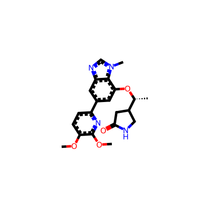 COc1ccc(-c2cc(O[C@H](C)C3CNC(=O)C3)c3c(c2)ncn3C)nc1OC